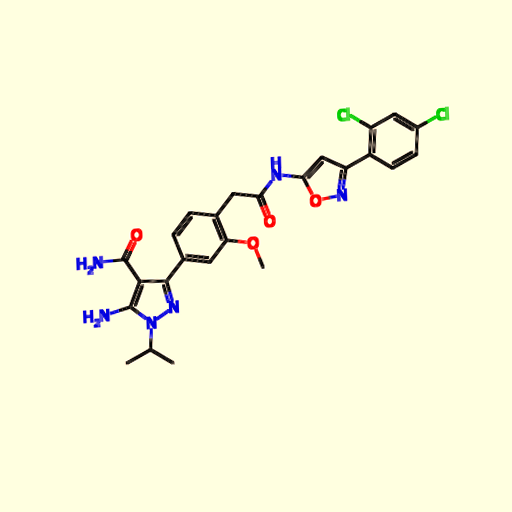 COc1cc(-c2nn(C(C)C)c(N)c2C(N)=O)ccc1CC(=O)Nc1cc(-c2ccc(Cl)cc2Cl)no1